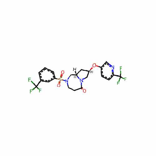 O=C1CCN(S(=O)(=O)c2cccc(C(F)(F)F)c2)C[C@@H]2C[C@@H](Oc3ccc(C(F)(F)F)nc3)CN12